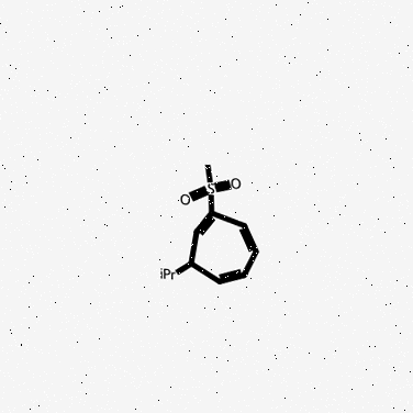 CC(C)C1C=CC=CC(S(C)(=O)=O)=C1